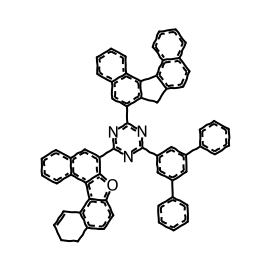 C1=Cc2c(ccc3oc4c(-c5nc(-c6cc(-c7ccccc7)cc(-c7ccccc7)c6)nc(-c6cc7ccccc7c7c6Cc6ccc8ccccc8c6-7)n5)cc5ccccc5c4c23)CC1